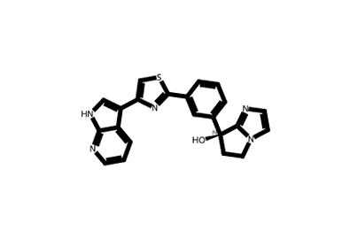 O[C@]1(c2cccc(-c3nc(-c4c[nH]c5ncccc45)cs3)c2)CCn2ccnc21